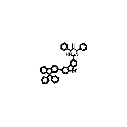 FC1(F)c2ccc(C3=NC(c4ccccc4)NC(c4ccccc4)N3)cc2-c2cc(-c3ccc4c(c3)C(c3ccccc3)(c3ccccc3)c3ccccc3-4)ccc21